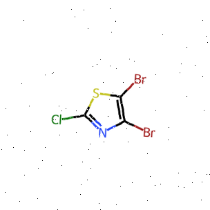 Clc1nc(Br)c(Br)s1